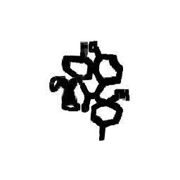 CC1CCC(O)(C(C(=O)[N+]2(C(=O)[O-])CCNCC2)c2cccc(Cl)c2)CC1